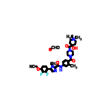 Cc1cc(NC(=O)c2ncc(-c3ccc(OCC#N)c(F)c3F)n2C)ccc1C(=O)N1CCN(C(=O)C2(O)CC[N+](C)(C)CC2)CC1.O=C[O-]